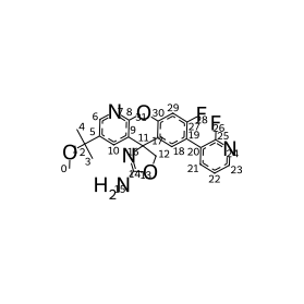 COC(C)(C)c1cnc2c(c1)C1(COC(N)=N1)c1cc(-c3cccnc3F)c(F)cc1O2